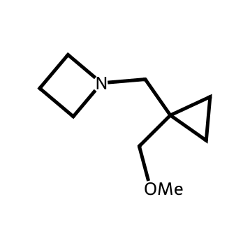 COCC1(CN2CCC2)CC1